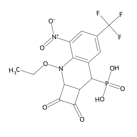 CCON1c2c(cc(C(F)(F)F)cc2[N+](=O)[O-])C(P(=O)(O)O)C2C(=O)C(=O)C21